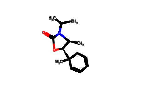 CC(C)N1C(=O)O[C@H](C2(C)C=CC=CC2)[C@@H]1C